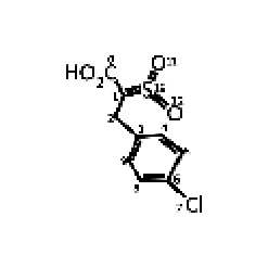 O=C(O)C(Cc1ccc(Cl)cc1)=S(=O)=O